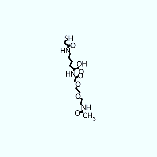 CC(=O)NCCOCCOCC(=O)NC(CCCCNC(=O)CS)C(=O)O